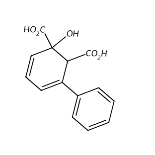 O=C(O)C1C(c2ccccc2)=CC=CC1(O)C(=O)O